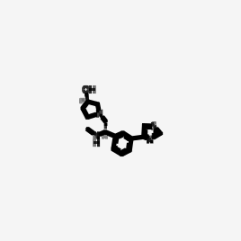 CN[C@H](CN1CC[C@@H](O)C1)c1cccc(-c2cscn2)c1